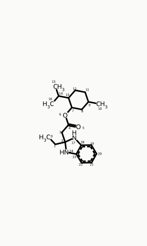 CCC1(CC(=O)OC2CC(C)CCC2C(C)C)Nc2ccccc2N1